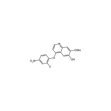 COc1cc2n[c]cc(Oc3ccc([N+](=O)[O-])cc3F)c2cc1O